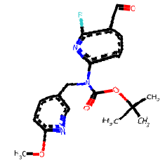 COc1ccc(CN(C(=O)OC(C)(C)C)c2ccc(C=O)c(F)n2)cn1